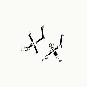 CC[N+](C)(C)O.COS(=O)(=O)[O-]